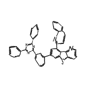 c1ccc(-c2nc(-c3ccccc3)nc(-c3cccc(-c4cc(-c5ccc6ccccc6n5)c5c(c4)sc4cccnc45)c3)n2)cc1